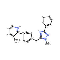 CCCCn1nc(-c2ccccc2)nc1Cc1ccc(-c2ncccc2C(=O)O)cc1